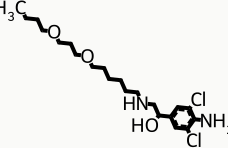 CCCCOCCCOCCCCCCNCC(O)c1cc(Cl)c(N)c(Cl)c1